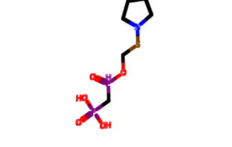 O=[PH](CP(=O)(O)O)OCSN1CCCC1